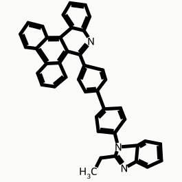 CCc1nc2ccccc2n1-c1ccc(-c2ccc(-c3nc4ccccc4c4c5ccccc5c5ccccc5c34)cc2)cc1